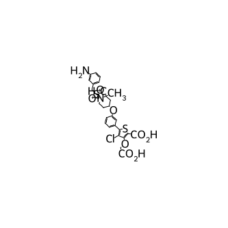 CC1(C)CC(Oc2cccc(-c3sc(C(=O)O)c(OCC(=O)O)c3Cl)c2)CCN1S(=O)(=O)Cc1cccc(N)c1